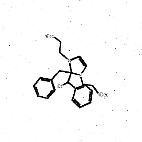 CCCCCCCCCCCCN1C=CN(CCCCCCCCCCCC)C1(Cc1ccccc1)C(CC)c1ccccc1